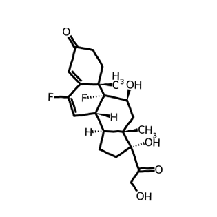 C[C@]12CCC(=O)C=C1C(F)=C[C@H]1[C@@H]3CC[C@](O)(C(=O)CO)[C@@]3(C)C[C@H](O)[C@@]12F